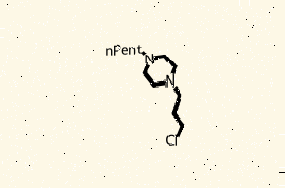 CCCCCN1CCN(CCCCl)CC1